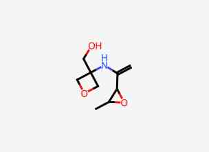 C=C(NC1(CO)COC1)C1OC1C